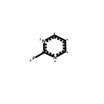 Fc1n[c]ccn1